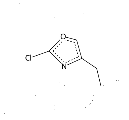 [CH2]Cc1coc(Cl)n1